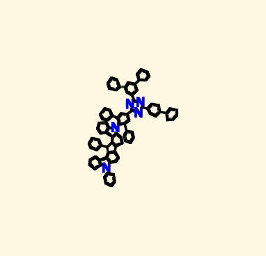 c1ccc(-c2ccc(-c3nc(-c4cc(-c5ccccc5)cc(-c5ccccc5)c4)nc(-c4cc(-c5ccccc5)c(-n5c6ccccc6c6c7c(ccc65)-c5ccc6c(c5C7c5ccccc5)c5ccccc5n6-c5ccccc5)c(-c5ccccc5)c4)n3)cc2)cc1